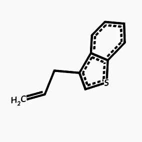 C=CCc1csc2ccccc12